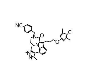 Cc1cc(OCCCc2c3n(c4c(-c5c(C)nn(C)c5C)cccc24)CCCN(Cc2ccc(C#N)cc2)C3=O)cc(C)c1Cl